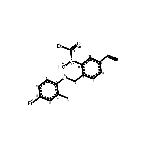 C=Cc1ccc(COc2ccc(CC)cc2C)c(N(O)C(=O)CC)c1